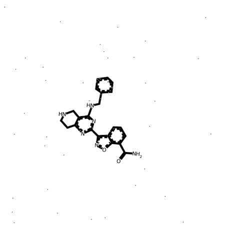 NC(=O)c1cccc2c(-c3nc4c(c(NCc5ccccc5)n3)CNCC4)noc12